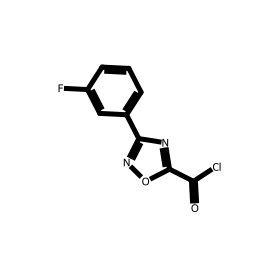 O=C(Cl)c1nc(-c2cccc(F)c2)no1